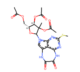 CSc1nc2c3c(cn(C4O[C@H](COC(C)=O)[C@@H](OC(C)=O)C4(C)OC(C)=O)c3n1)NC(=O)C(=O)N2